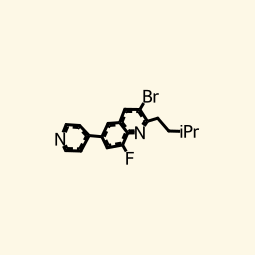 CC(C)CCc1nc2c(F)cc(-c3ccncc3)cc2cc1Br